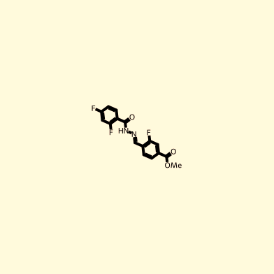 COC(=O)c1ccc(/C=N/NC(=O)c2ccc(F)cc2F)c(F)c1